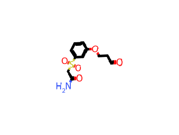 NC(=O)CS(=O)(=O)c1cccc(OCCC=O)c1